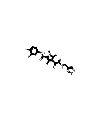 Cc1c(C(=O)C(=O)NCC2=C[N]N=N2)c(C)n(C)c1C(=O)Nc1ccc(F)c(F)c1